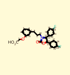 O=C(O)COc1cccc(CCCn2c(-c3ccc(F)cc3)c(-c3ccc(F)cc3)oc2=O)c1